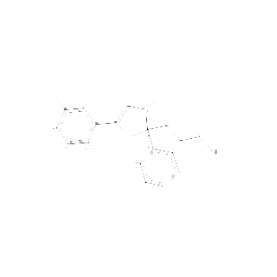 CN1N=C(c2cc(F)ccc2F)SC1(CCCN)c1ccccc1